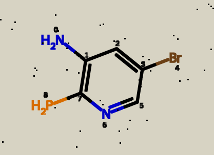 Nc1cc(Br)cnc1P